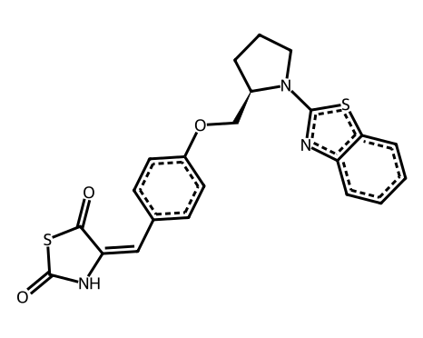 O=C1NC(=Cc2ccc(OC[C@H]3CCCN3c3nc4ccccc4s3)cc2)C(=O)S1